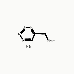 Br.CCCCCCc1cnnnn1